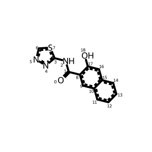 O=C(Nc1nncs1)c1cc2ccccc2cc1O